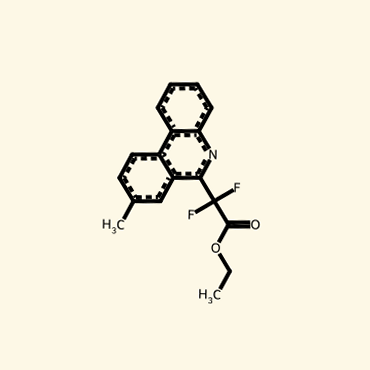 CCOC(=O)C(F)(F)c1nc2ccccc2c2ccc(C)cc12